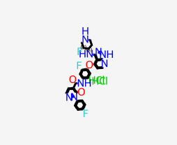 Cl.Cl.O=C(Nc1ccc(Oc2ccnc3[nH]nc(N[C@H]4CCNC[C@@H]4F)c23)c(F)c1)c1ccnn(-c2ccc(F)cc2)c1=O